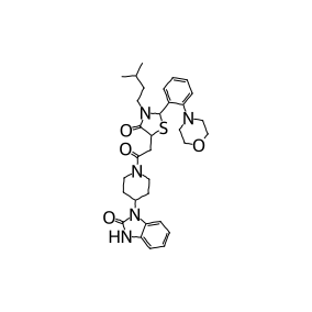 CC(C)CCN1C(=O)C(CC(=O)N2CCC(n3c(=O)[nH]c4ccccc43)CC2)SC1c1ccccc1N1CCOCC1